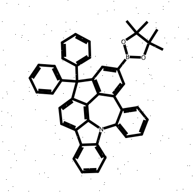 CC1(C)OB(c2cc3c4c(c2)C(c2ccccc2)(c2ccccc2)c2ccc5c6ccccc6n(c5c2-4)-c2ccccc2-3)OC1(C)C